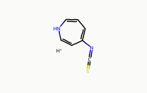 S=C=NC1=CC=CNC=C1.[H+]